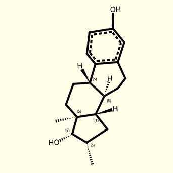 C[C@H]1C[C@H]2[C@@H]3CCc4cc(O)ccc4[C@H]3CC[C@]2(C)[C@H]1O